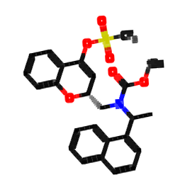 CC(c1cccc2ccccc12)N(C[C@H]1C=C(OS(=O)(=O)C(F)(F)F)c2ccccc2O1)C(=O)OC(C)(C)C